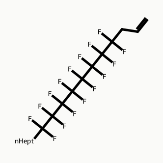 C=CCC(F)(F)C(F)(F)C(F)(F)C(F)(F)C(F)(F)C(F)(F)C(F)(F)C(F)(F)CCCCCCC